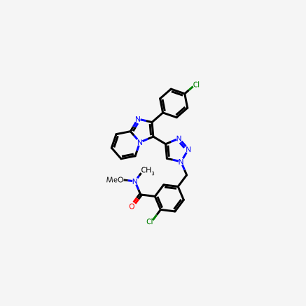 CON(C)C(=O)c1cc(Cn2cc(-c3c(-c4ccc(Cl)cc4)nc4ccccn34)nn2)ccc1Cl